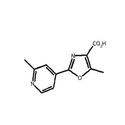 Cc1cc(-c2nc(C(=O)O)c(C)o2)ccn1